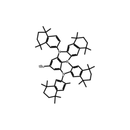 Cc1cc2c(cc1N1c3cc4c(cc3B3c5cc6c(cc5N(c5ccc7c(c5)C(C)(C)CCC7(C)C)c5cc(C(C)(C)C)cc1c53)C(C)(C)CCC6(C)C)C(C)(C)CCC4(C)C)C(C)(C)CCC2(C)C